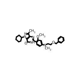 COc1cc(N(C)CCOCc2ccccc2)ccc1-c1nc2c(C)nn(C3CCCCC3)c2c(=O)[nH]1